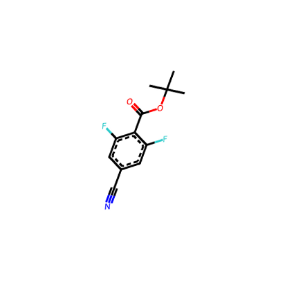 CC(C)(C)OC(=O)c1c(F)cc(C#N)cc1F